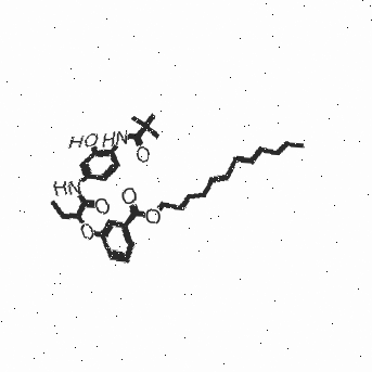 CCCCCCCCCCCCOC(=O)c1cccc(OC(CC)C(=O)Nc2ccc(NC(=O)C(C)(C)C)c(O)c2)c1